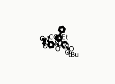 CCOC(=O)CN1C(=O)COc2ccc(NC(=O)[C@H]3CN(C(=O)OC(C)(C)C)CC[C@@H]3c3cccc(-c4ccccc4)c3)cc21